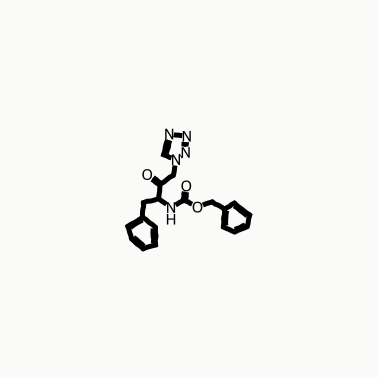 O=C(NC(Cc1ccccc1)C(=O)Cn1cnnn1)OCc1ccccc1